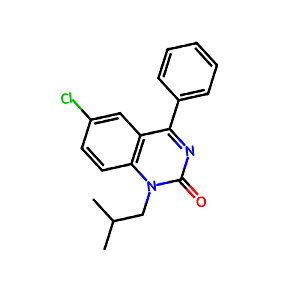 CC(C)Cn1c(=O)nc(-c2ccccc2)c2cc(Cl)ccc21